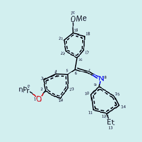 CCCOc1ccc(C(=C=Nc2ccc(CC)cc2)c2ccc(OC)cc2)cc1